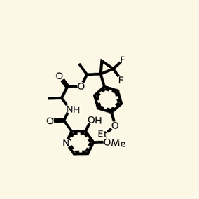 CCOc1ccc(C2(C(C)OC(=O)C(C)NC(=O)c3nccc(OC)c3O)CC2(F)F)cc1